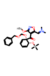 CCCCOc1noc(C=[N+](C)C)c1C(=O)[C@]1(OCOCc2ccccc2)C=CC=C[C@H]1O[Si](C)(C)C